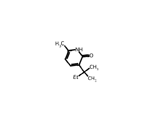 CCC(C)(C)c1ccc(C)[nH]c1=O